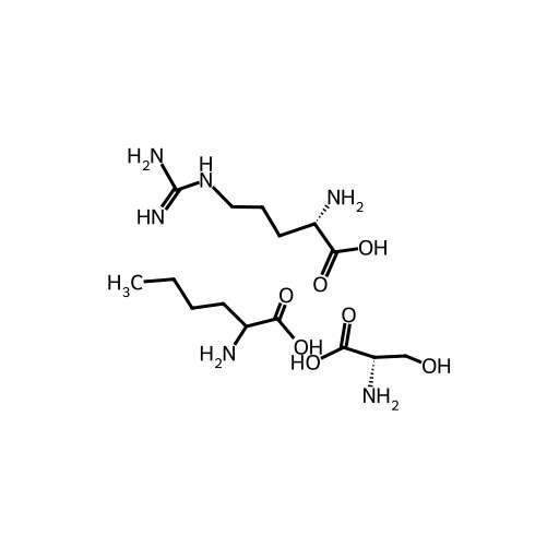 CCCCC(N)C(=O)O.N=C(N)NCCC[C@H](N)C(=O)O.N[C@@H](CO)C(=O)O